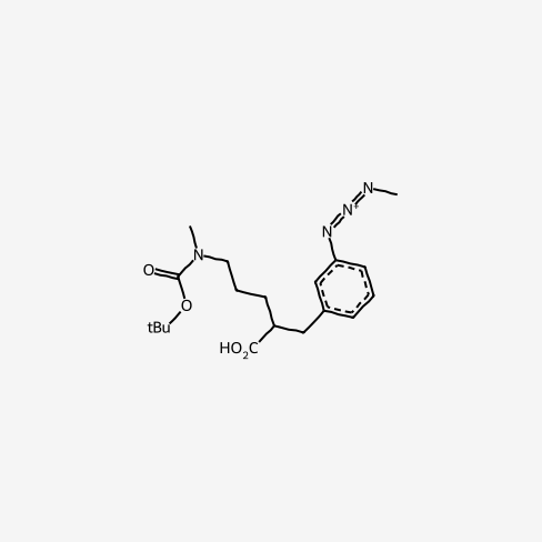 CN=[N+]=Nc1cccc(CC(CCCN(C)C(=O)OC(C)(C)C)C(=O)O)c1